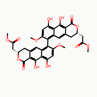 COC(=O)C[C@@H]1Cc2cc3c(-c4c(OC)cc(O)c5c(O)c6c(cc45)C[C@@H](CC(=O)OC)OC6=O)c(OC)cc(O)c3c(O)c2C(=O)O1